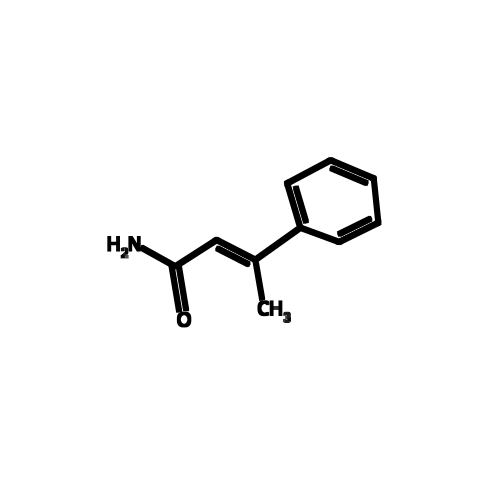 C/C(=C\C(N)=O)c1ccccc1